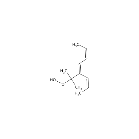 C\C=C/C=C(\C=C/C)C(C)(C)OO